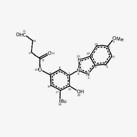 COc1ccc2nn(-c3cc(OC(=O)CCC=O)cc(C(C)(C)C)c3O)nc2c1